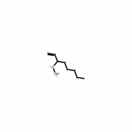 C=CC(CCCCC)OO